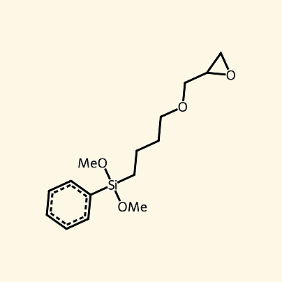 CO[Si](CCCCOCC1CO1)(OC)c1ccccc1